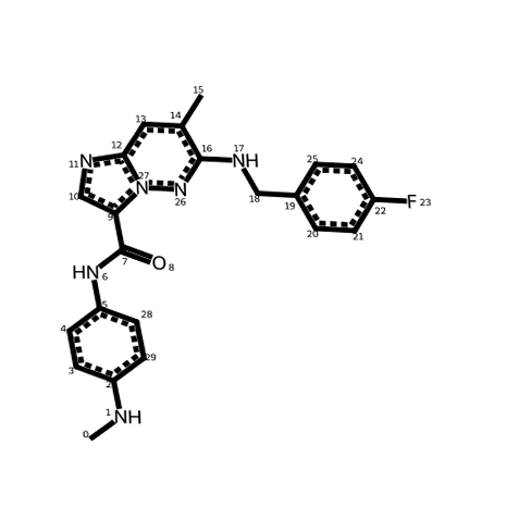 CNc1ccc(NC(=O)c2cnc3cc(C)c(NCc4ccc(F)cc4)nn23)cc1